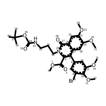 COC(=O)c1c(-c2cc(Br)c(OC)c(OC)c2)c2cc(OC)c(OC)cc2c(=O)n1CCCNC(=O)OC(C)(C)C